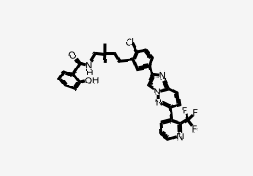 CC(C)(CCc1cc(-c2cn3nc(-c4cccnc4C(F)(F)F)ccc3n2)ccc1Cl)CNC(=O)c1ccccc1O